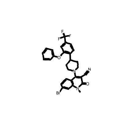 Cn1c(=O)c(C#N)c(N2CCC(c3ccc(C(F)(F)F)cc3Oc3ccccc3)CC2)c2ccc(Br)cc21